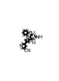 CN1C(=N)N[C@](C)(c2cc(-c3cncc(C#N)c3)cs2)[C@H](Sc2ccccc2)C1=O